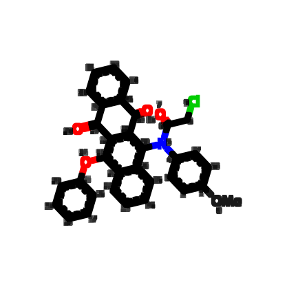 COc1ccc(N(C(=O)CCl)c2c3c(c(Oc4ccccc4)c4ccccc24)C(=O)c2ccccc2C3=O)cc1